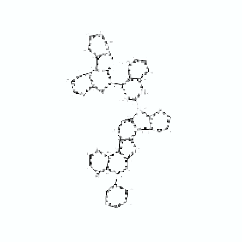 c1ccc(-c2cc3oc4c(ccc5c4c4ccccc4n5-c4nc(-c5cc6ccccc6c6c5oc5ccccc56)c5ccccc5n4)c3c3ccccc23)cc1